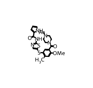 COc1cc(C)c(Sc2cnc(NC(=O)c3ccc[nH]3)s2)cc1C(=O)N1CCN(C(C)=O)CC1